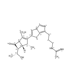 CC(=N)NCCSc1ncn2cc(C3=C(C(=O)O)N4C(=O)[C@H]([C@@H](C)O)[C@H]4[C@H]3C)sc12